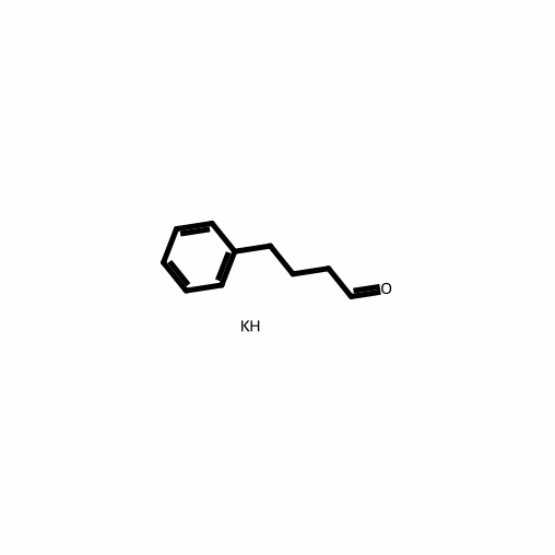 O=CCCCc1ccccc1.[KH]